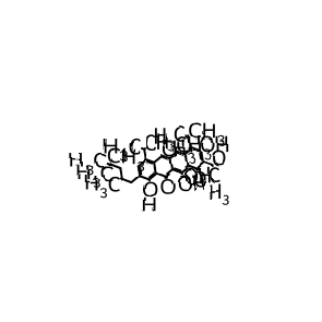 CC(=O)C1=C(O)C(C(C)C)[C@@]2(C)C[C@@]3(C)Cc4c(C(C)C)cc(CC(C)CC(C)(C)C)c(O)c4C(=O)C3=C(O)[C@@]2(O)C1=O